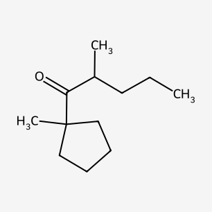 CCCC(C)C(=O)C1(C)CCCC1